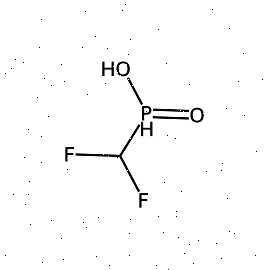 O=[PH](O)C(F)F